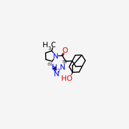 CC1CC[C@@H](C#N)N1C(=O)[C@@H](N)C12CC3CC(CC(O)(C3)C1)C2